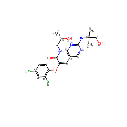 C[C@H](O)Cn1c(=O)c(Oc2ccc(F)cc2F)cc2cnc(NC(C)(C)CO)nc21